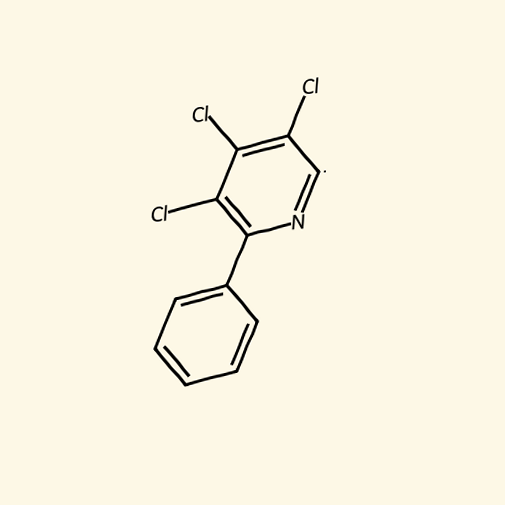 Clc1[c]nc(-c2ccccc2)c(Cl)c1Cl